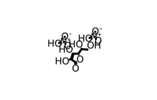 O=C1O[C@H]([C@@H](O)CO)C(O)=C1O.O=[N+]([O-])O.O=[N+]([O-])O